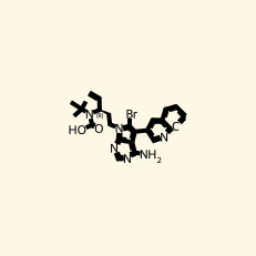 C=C[C@@H](CCn1c(Br)c(-c2cnc3ccccc3c2)c2c(N)ncnc21)N(C(=O)O)C(C)(C)C